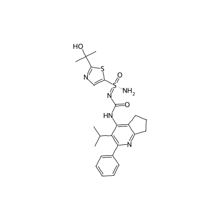 CC(C)c1c(-c2ccccc2)nc2c(c1NC(=O)N=[S@](N)(=O)c1cnc(C(C)(C)O)s1)CCC2